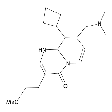 COCCC1=CNC2C(C3CCC3)=C(CN(C)C)C=CN2C1=O